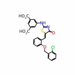 O=C1N=C(Nc2cc(C(=O)O)cc(C(=O)O)c2)S/C1=C\c1ccccc1OCc1ccccc1Cl